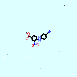 COC(=O)c1ccc(Nc2ccc(C#N)cc2)c([N+](=O)[O-])c1